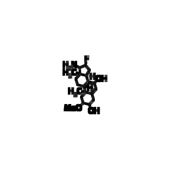 COC1C[C@@]2(C)C(=CC(O)=C3[C@H]2CC[C@]2(C)C(N)C(F)C[C@@H]32)CC1O